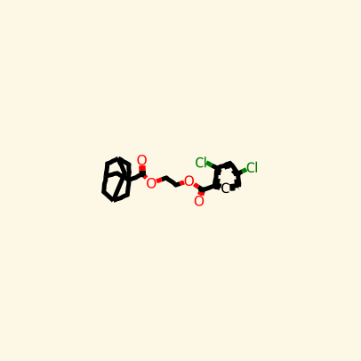 O=C(OCCOC(=O)C12CC3CC(CC(C3)C1)C2)c1ccc(Cl)cc1Cl